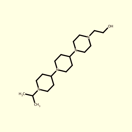 CC(C)N1CCC(N2CCC(N3CCN(CCO)CC3)CC2)CC1